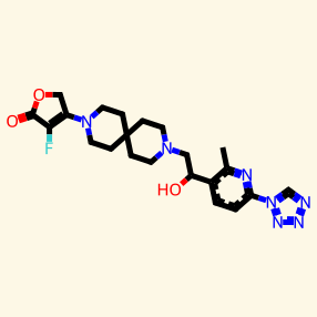 Cc1nc(-n2cnnn2)ccc1C(O)CN1CCC2(CC1)CCN(C1=C(F)C(=O)OC1)CC2